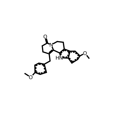 COc1ccc(CC2=C3c4[nH]c5ccc(OC)cc5c4CCN3C(=O)CC2)cc1